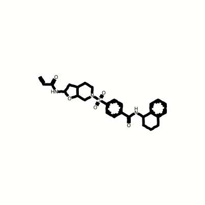 C=CC(=O)NC1CC2CCN(S(=O)(=O)c3ccc(C(=O)NC4CCCc5ccccc54)cc3)CC2O1